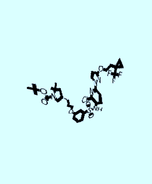 CC(C)(C)OC(=O)N1C[C@@H](CCCOc2cccc(S(=O)(=O)Nc3ccc(-n4ccc(OCCC5(C(F)(F)F)CC5)n4)nc3Cl)c2)CC1(C)C